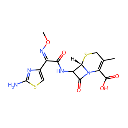 CO/N=C(\C(=O)NC1C(=O)N2C(C(=O)O)=C(C)CS[C@@H]12)c1csc(N)n1